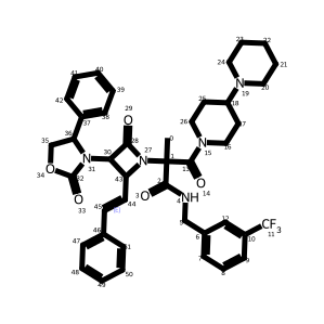 CC(C(=O)NCc1cccc(C(F)(F)F)c1)(C(=O)N1CCC(N2CCCCC2)CC1)N1C(=O)C(N2C(=O)OCC2c2ccccc2)C1/C=C/c1ccccc1